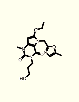 CCOc1cc2c(c(=O)n(CCCO)c(=O)n2C)n1Cc1ncc(C)o1